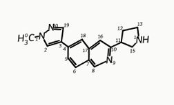 Cn1cc(-c2ccc3cnc(C4CCNC4)cc3c2)cn1